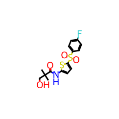 CC(C)(CO)C(=O)Nc1ccc(S(=O)(=O)c2ccc(F)cc2)s1